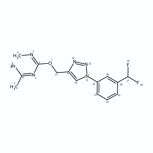 C/N=C(\N=C(\C)C(C)C)OCc1cn(-c2cccc(C(F)F)c2)nn1